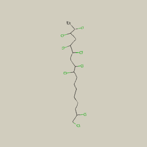 CCC(Cl)C(Cl)CC(Cl)C(Cl)CC(Cl)C(Cl)CCCCCCC(Cl)CCl